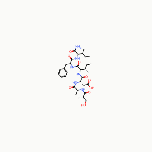 CC[C@H](C)[C@H](NC(=O)[C@H](Cc1ccccc1)NC(=O)[C@@H](NC(=O)[C@H](CC(=O)O)NC(=O)[C@H](C)NC(=O)[C@@H](C)CO)[C@@H](C)CC)C(N)=O